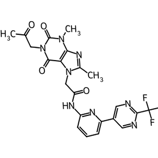 CC(=O)Cn1c(=O)c2c(nc(C)n2CC(=O)Nc2cccc(-c3cnc(C(F)(F)F)nc3)n2)n(C)c1=O